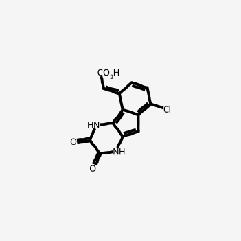 O=C(O)C=c1ccc(Cl)c2c1=c1[nH]c(=O)c(=O)[nH]c1=C2